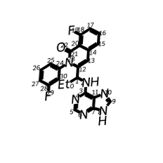 CCC(Nc1ncnc2[nH]cnc12)c1cc2cccc(F)c2c(=O)n1-c1cccc(F)c1